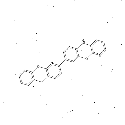 c1ccc2c(c1)Cc1ccc(-c3ccc4c(c3)Oc3ncccc3[SiH2]4)nc1O2